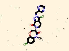 CN1C(=O)[C@@H](N2CCc3c(nn(Cc4cnccn4)c3Cl)C2=O)COc2cc(Cl)ccc21